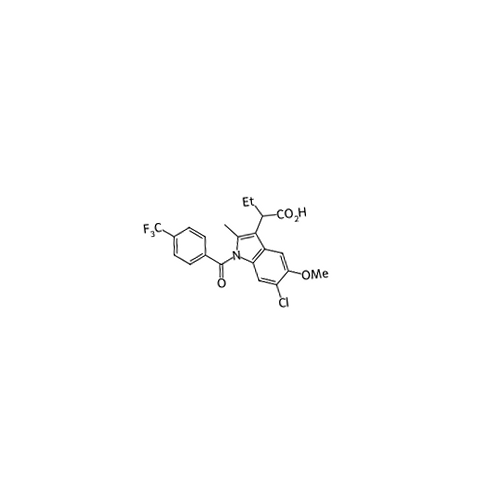 CCC(C(=O)O)c1c(C)n(C(=O)c2ccc(C(F)(F)F)cc2)c2cc(Cl)c(OC)cc12